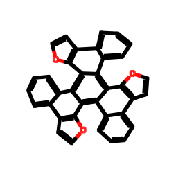 c1ccc2c(c1)c1ccoc1c1c2c2c3occc3c3ccccc3c2c2c3occc3c3ccccc3c12